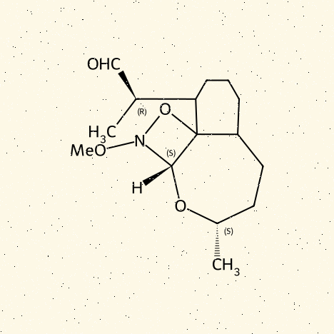 CON1OC23C(CCCC2[C@@H](C)C=O)CC[C@H](C)O[C@H]13